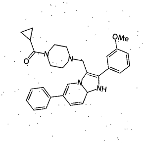 COc1cccc(C2=C(CN3CCN(C(=O)C4CC4)CC3)N3C=C(c4ccccc4)C=CC3N2)c1